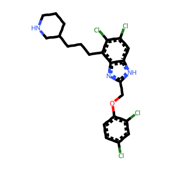 Clc1ccc(OCc2nc3c(CCCC4CCCNC4)c(Cl)c(Cl)cc3[nH]2)c(Cl)c1